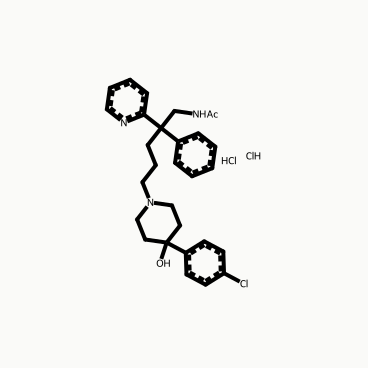 CC(=O)NCC(CCCN1CCC(O)(c2ccc(Cl)cc2)CC1)(c1ccccc1)c1ccccn1.Cl.Cl